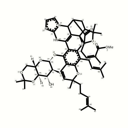 COC(=O)/C(C)=C\CC12OC(C)(C)C3CC(C1=O)C1C4=C(Nc5nccn51)c1c(O[C@H]5O[C@H]6COC(C)(C)O[C@@H]6[C@@H](O)[C@@H]5O)c5c(c(CC=C(C)C)c1OC432)OC(C)(CCC=C(C)C)C=C5